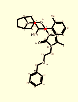 Cc1nn(CC(O)CN2C3CCC2CC(OCc2ccccc2F)C3)c(=O)n1CCOCc1ccccc1